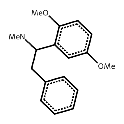 CNC(Cc1ccccc1)c1cc(OC)ccc1OC